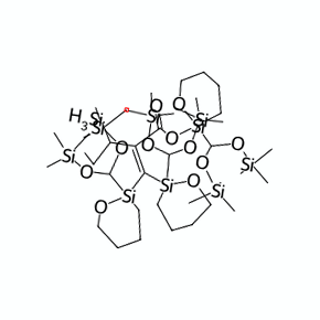 CCC([SiH3])C(C(=O)O[Si]1(C(O[Si](C)(C)C)O[Si](C)(C)C)CCCCO1)=C([Si]1(C(O[Si](C)(C)C)O[Si](C)(C)C)CCCCO1)[Si]1(C(O[Si](C)(C)C)O[Si](C)(C)C)CCCCO1